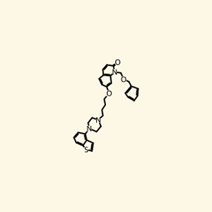 O=c1ccc2ccc(OCCCCN3CCN(c4cccc5sccc45)CC3)cc2n1COCc1ccccc1